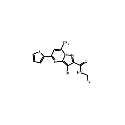 CC(C)CNC(=O)c1nn2c(C(F)(F)F)cc(-c3cccs3)nc2c1Br